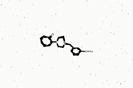 COc1cccc(CN2CCN(c3cccccc3=O)CC2)c1